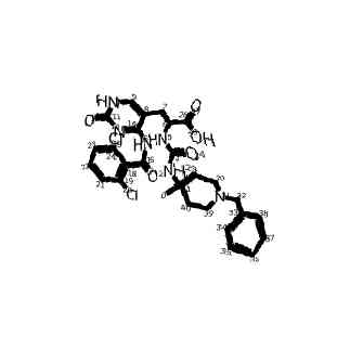 CC1(NC(=O)NC(Cc2c[nH]c(=O)nc2NC(=O)c2c(Cl)cccc2Cl)C(=O)O)CCN(Cc2ccccc2)CC1